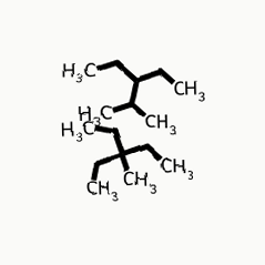 CCC(C)(CC)CC.CCC(CC)C(C)C